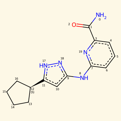 NC(=O)c1cccc(Nc2cc([C@H]3C[CH]CC3)[nH]n2)n1